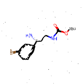 CC(C)(C)OC(=O)NCC[C@@H](N)c1cccc(Br)c1